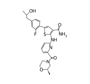 CC(O)Cc1ccc(-c2cc(C(N)=O)c(Nc3cccc(C(=O)N4CCO[C@H](C)C4)n3)s2)c(F)c1